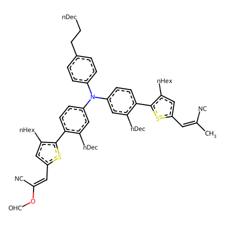 [C-]#[N+]/C(C)=C\c1cc(CCCCCC)c(-c2ccc(N(c3ccc(CCCCCCCCCCCC)cc3)c3ccc(-c4sc(/C=C(\C#N)OC=O)cc4CCCCCC)c(CCCCCCCCCC)c3)cc2CCCCCCCCCC)s1